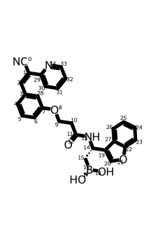 N#CC(=Cc1cccc(OCCC(=O)N[C@@H](CB(O)O)c2coc3ccccc23)c1)c1ccccn1